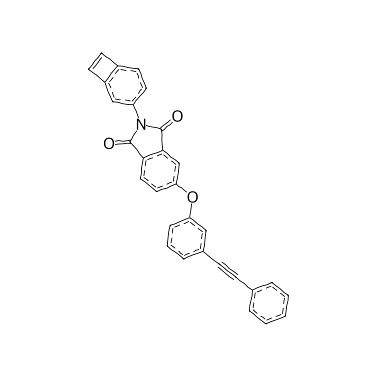 O=C1c2ccc(Oc3cccc(C#Cc4ccccc4)c3)cc2C(=O)N1c1ccc2c(c1)C=C2